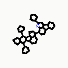 c1ccc(-c2cc3c4c(ccc(-c5ccc6c7c(cccc57)-c5c-6c(-c6ccccc6)c6ccccc6c5-c5ccccc5)c4n2)-c2ccccc2-3)cc1